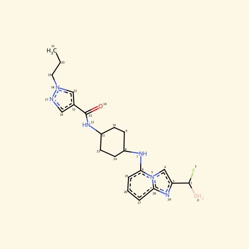 BC(F)c1cn2c(NC3CCC(NC(=O)c4cnn(CCC)c4)CC3)cccc2n1